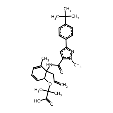 C=CCC1(NC(=O)c2cc(-c3ccc(C(C)(C)C)cc3)nn2C)C(C)=CC=CC1OC(C)(C)C(=O)O